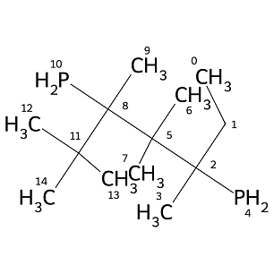 CCC(C)(P)C(C)(C)C(C)(P)C(C)(C)C